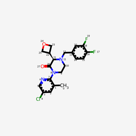 Cc1cc(Cl)cnc1N1CCN(Cc2ccc(F)c(F)c2)[C@H](C2COC2)C1=O